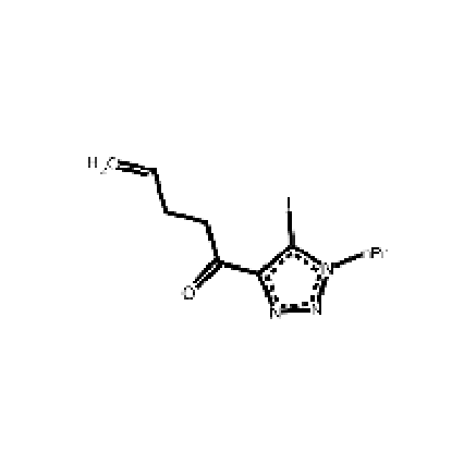 C=CCCC(=O)c1nnn(CCC)c1I